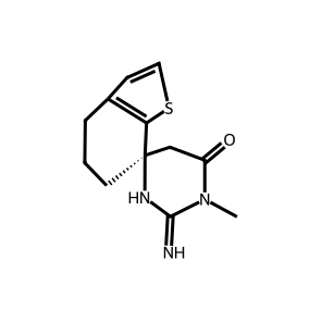 CN1C(=N)N[C@]2(CCCc3ccsc32)CC1=O